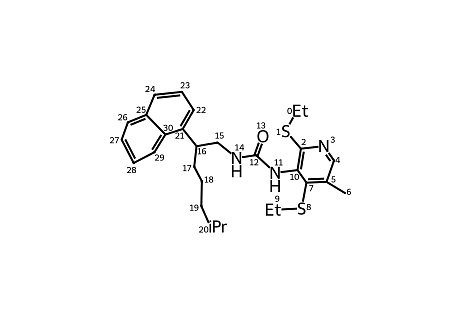 CCSc1ncc(C)c(SCC)c1NC(=O)NCC(CCCC(C)C)c1cccc2ccccc12